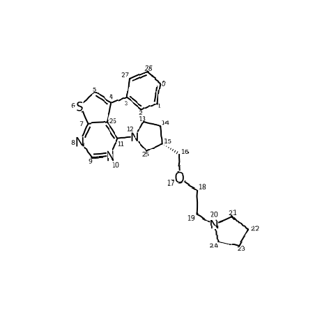 c1ccc(-c2csc3ncnc(N4CC[C@H](COCCN5CCCC5)C4)c23)cc1